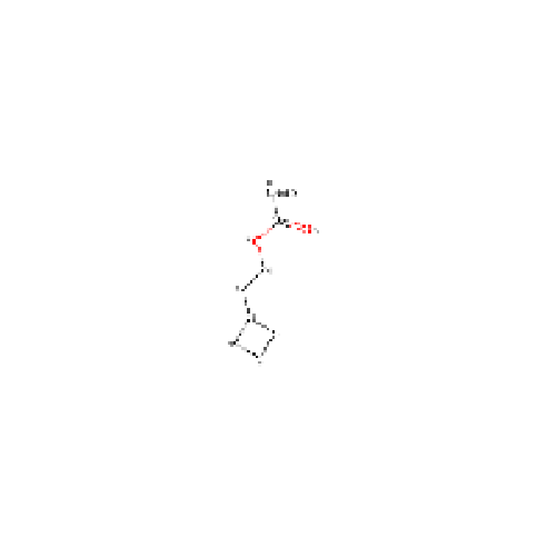 COC(=O)OCCC1CCC1